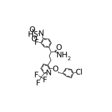 CN(c1ccc(C(CCc2ccc(C(F)(F)F)nc2OCc2ccc(Cl)cc2)C(N)=O)cc1F)[SH](=O)=O